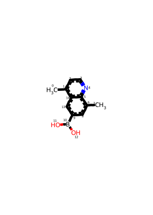 Cc1ccnc2c(C)cc(B(O)O)cc12